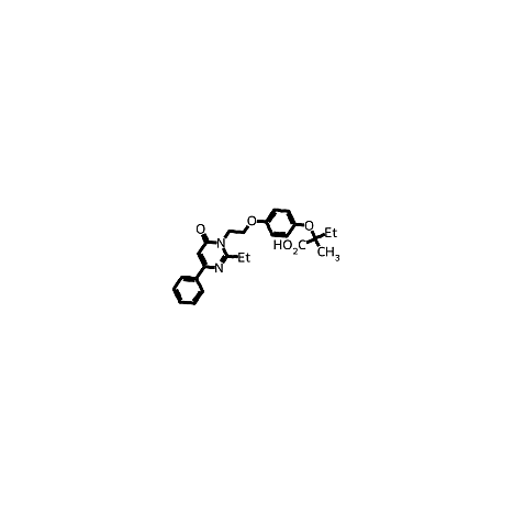 CCc1nc(-c2ccccc2)cc(=O)n1CCOc1ccc(OC(C)(CC)C(=O)O)cc1